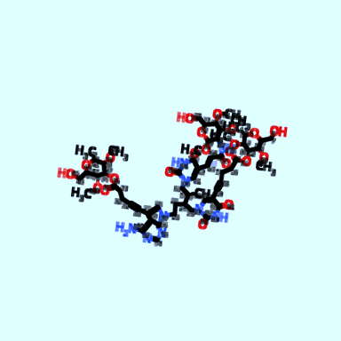 COC1[C@H](C)OC(CO)[C@@H](OC)[C@@H]1OC(=O)CCC#Cc1cn(CC(CCn2cc(C#CCCC(=O)O[C@@H]3C(OC)[C@@H](C)OC(CO)[C@H]3OC)c3c(N)ncnc32)[C@H](C)Cn2cc(/C=C/C(=O)NC3[C@@H](OC)OC(CO)[C@@H](OC)[C@@H]3OC)c(=O)[nH]c2=O)c(=O)[nH]c1=O